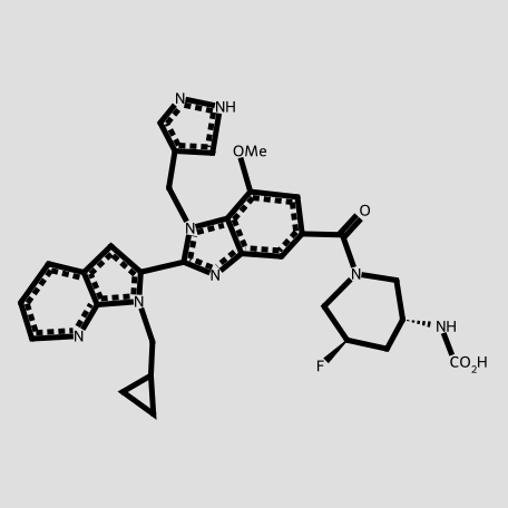 COc1cc(C(=O)N2C[C@H](F)C[C@@H](NC(=O)O)C2)cc2nc(-c3cc4cccnc4n3CC3CC3)n(Cc3cn[nH]c3)c12